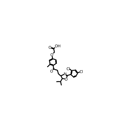 Cc1cc(OCC(=O)O)ccc1C(=O)CCC1N=C(c2ccc(Cl)cc2Cl)OC1C(C)C